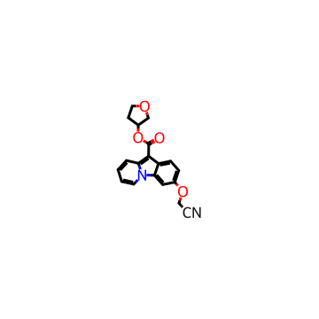 N#CCOc1ccc2c(C(=O)OC3CCOC3)c3ccccn3c2c1